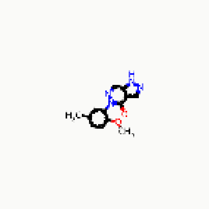 COc1ccc(C)cc1-n1ncc2[nH]ncc2c1=O